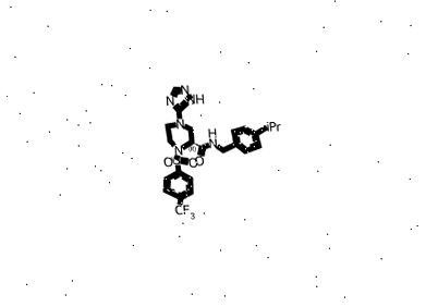 CC(C)c1ccc(CNC(=O)[C@H]2CN(c3ncn[nH]3)CCN2S(=O)(=O)c2ccc(C(F)(F)F)cc2)cc1